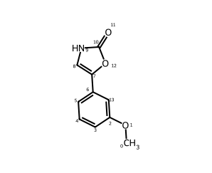 COc1cccc(-c2c[nH]c(=O)o2)c1